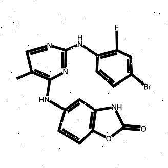 Cc1cnc(Nc2ccc(Br)cc2F)nc1Nc1ccc2oc(=O)[nH]c2c1